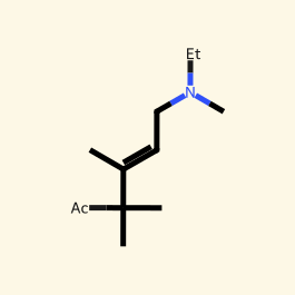 CCN(C)C/C=C(\C)C(C)(C)C(C)=O